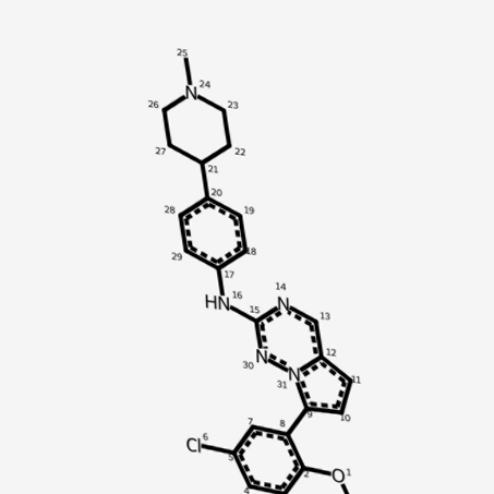 COc1ccc(Cl)cc1-c1ccc2cnc(Nc3ccc(C4CCN(C)CC4)cc3)nn12